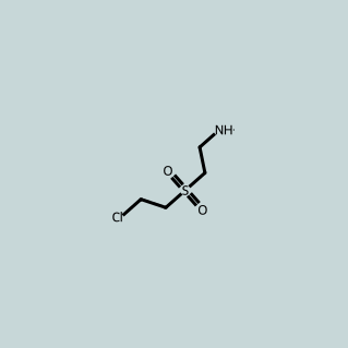 [NH]CCS(=O)(=O)CCCl